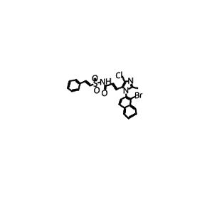 Cc1nc(Cl)c(/C=C/C(=O)NS(=O)(=O)/C=C/c2ccccc2)n1-c1ccc2ccccc2c1Br